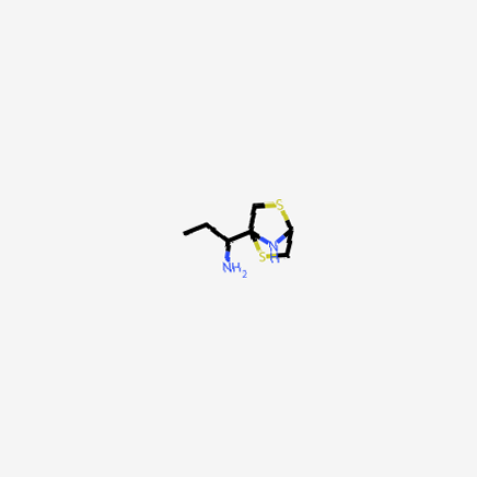 CCC(N)C12CSC(CS1)N2